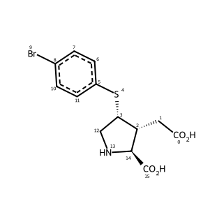 O=C(O)C[C@H]1[C@@H](Sc2ccc(Br)cc2)CN[C@@H]1C(=O)O